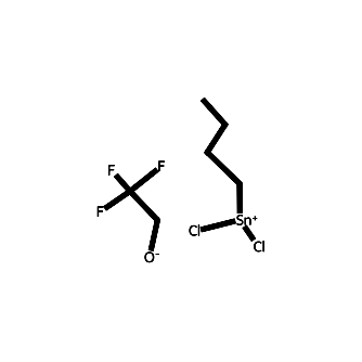 CCC[CH2][Sn+]([Cl])[Cl].[O-]CC(F)(F)F